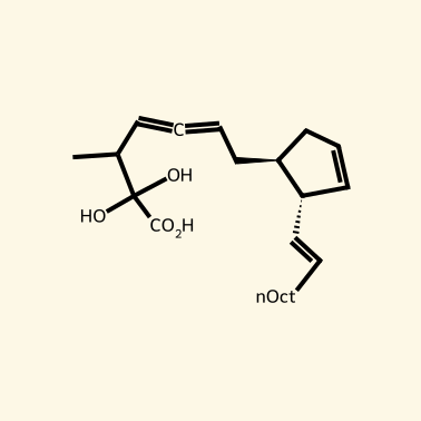 CCCCCCCCC=C[C@H]1C=CC[C@@H]1CC=C=CC(C)C(O)(O)C(=O)O